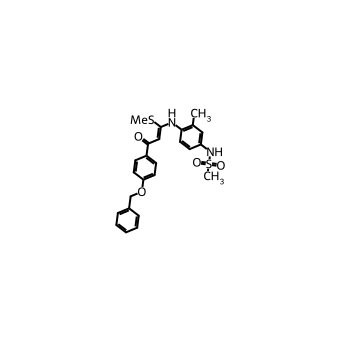 CS/C(=C\C(=O)c1ccc(OCc2ccccc2)cc1)Nc1ccc(NS(C)(=O)=O)cc1C